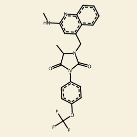 CNc1cc(CN2C(=O)N(c3ccc(OC(F)(F)F)cc3)C(=O)C2C)c2ccccc2n1